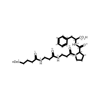 CCCCCCCCCCCCCC(=O)NCCC(=O)NCCC(=O)N1CCCC1C(=O)NC(Cc1ccccc1)C(=O)O